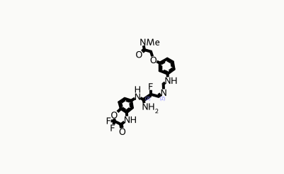 CNC(=O)COc1cccc(NC/N=C\C(F)=C(/N)Nc2ccc3c(c2)NC(=O)C(F)(F)O3)c1